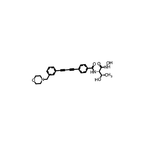 C[C@@H](O)[C@H](NC(=O)c1ccc(C#CC#Cc2cccc(CN3CCOCC3)c2)cc1)C(=O)NO